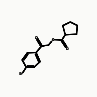 O=C(COC(=O)C1CCCC1)c1ccc(Br)cc1